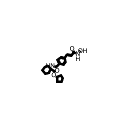 O=C(/C=C/c1ccc(CNC2(C(=O)OC3CCCC3)CCCCC2)cc1)NO